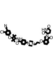 CC1(C)[C@H](NC(=O)c2ccc(N3CCN(CCCOc4cccc5c4CN(C4CCC(=O)NC4=O)C5=O)CC3)cc2)C(C)(C)[C@H]1Oc1ccc(C#N)c(Cl)c1